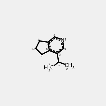 CC(C)c1cncc2c1CCC2